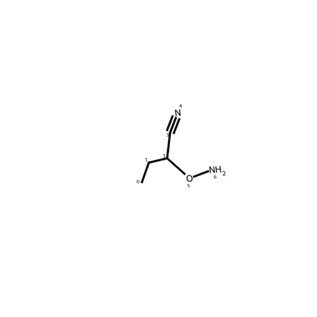 CCC(C#N)ON